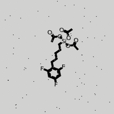 CC(=O)O[Si](CCCCCc1c(F)cc(F)cc1F)(OC(C)=O)OC(C)=O